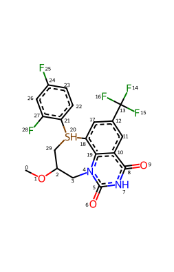 COC1Cn2c(=O)[nH]c(=O)c3cc(C(F)(F)F)cc(c32)[SH](c2ccc(F)cc2F)C1